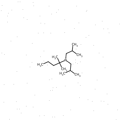 CCCC(C)(C)N(CC(C)C)CC(C)C